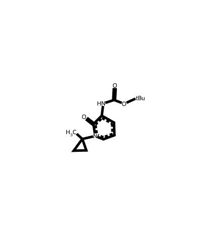 CC(C)(C)OC(=O)Nc1cccn(C2(C)CC2)c1=O